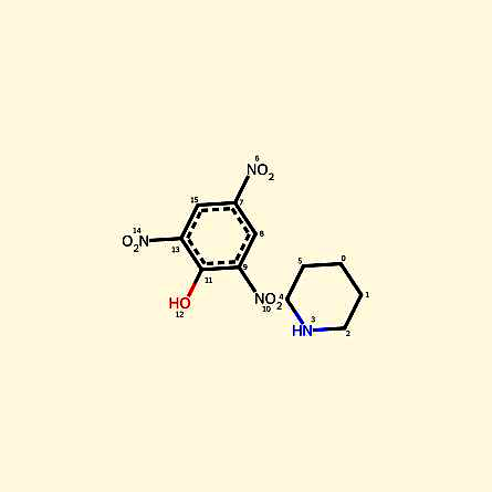 C1CCNCC1.O=[N+]([O-])c1cc([N+](=O)[O-])c(O)c([N+](=O)[O-])c1